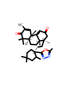 Cc1nnc([C@]2(CC[C@]3(C)CC(=O)C=C4[C@@]5(C)C=C(C#N)C(=O)C(C)(C)[C@@H]5CC[C@]43C)CCC(C)(C)CC2C)o1